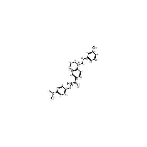 C[S+]([O-])c1ccc(CNC(=O)c2ccc3c(c2)OCCN3CCc2cccc(Cl)c2)cc1